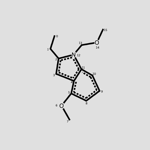 CCc1cc2c(OC)cccc2n1COC